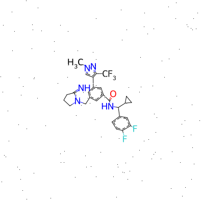 Cn1cc(-c2cc(CN3CCCC3=N)cc(C(=O)NC(c3ccc(F)c(F)c3)C3CC3)c2)c(C(F)(F)F)n1